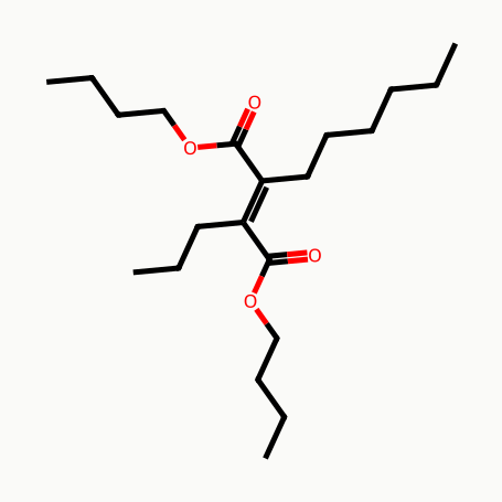 CCCCCCC(C(=O)OCCCC)=C(CCC)C(=O)OCCCC